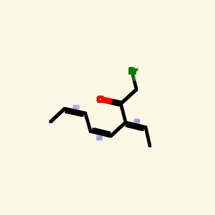 C\C=C/C=C\C(=C/C)C(=O)CBr